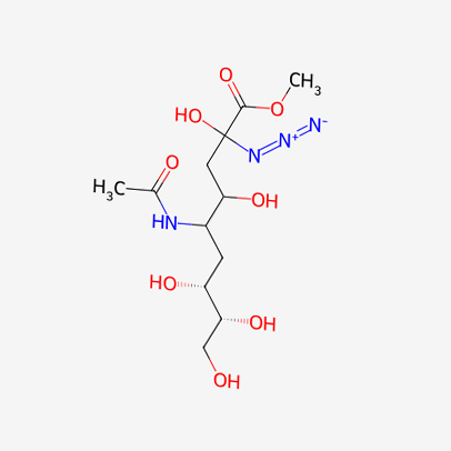 COC(=O)C(O)(CC(O)C(C[C@@H](O)[C@H](O)CO)NC(C)=O)N=[N+]=[N-]